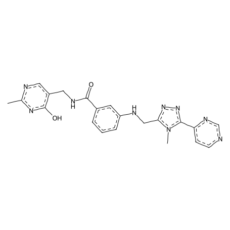 Cc1ncc(CNC(=O)c2cccc(NCc3nnc(-c4ccncn4)n3C)c2)c(O)n1